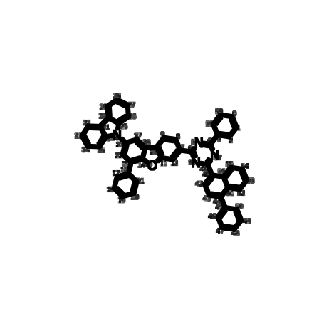 c1ccc(-c2nc(-c3ccc4c(c3)oc3c(-c5ccccc5)cc(-n5c6ccccc6c6ccccc65)cc34)nc(-c3ccc(-c4ccccc4)c4ccccc34)n2)cc1